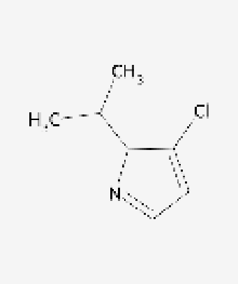 CC(C)C1N=CC=C1Cl